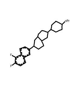 CCCC1CCC(C2CCC3CC(c4ccc5c(F)c(F)ccc5c4)CCC3C2)CC1